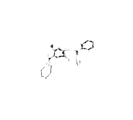 C=Nc1cc(OC(=O)c2ccccc2)c(OC)cc1C(=O)N1CCCCC1